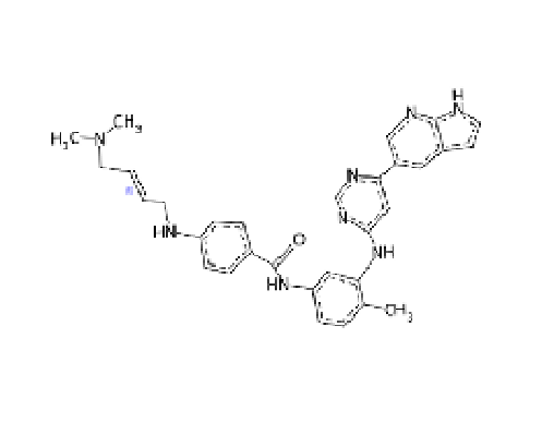 Cc1ccc(NC(=O)c2ccc(NC/C=C/CN(C)C)cc2)cc1Nc1cc(-c2cnc3[nH]ccc3c2)ncn1